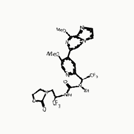 CCN(C(=O)NC(CN1CCOC1=O)C(F)(F)F)[C@@H](c1cc(-c2cn3ccnc3c(OC)n2)c(OC)cn1)C(F)(F)F